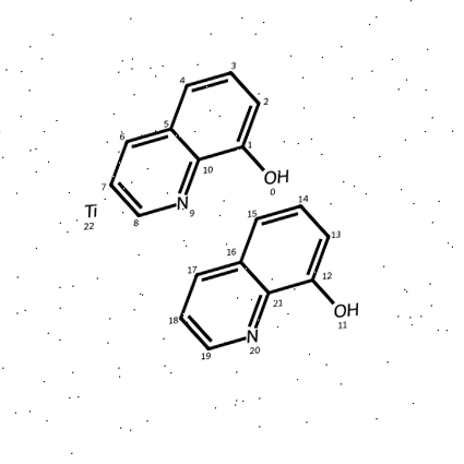 Oc1cccc2cccnc12.Oc1cccc2cccnc12.[Ti]